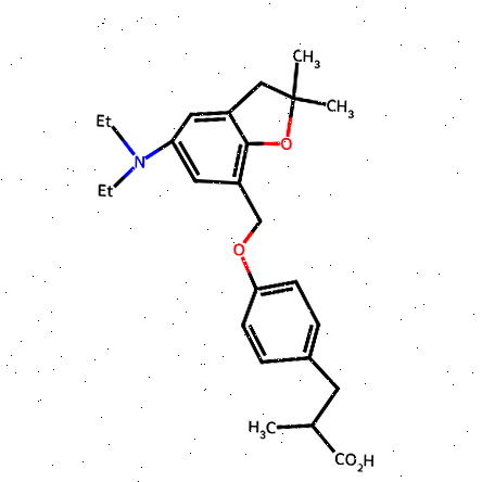 CCN(CC)c1cc(COc2ccc(CC(C)C(=O)O)cc2)c2c(c1)CC(C)(C)O2